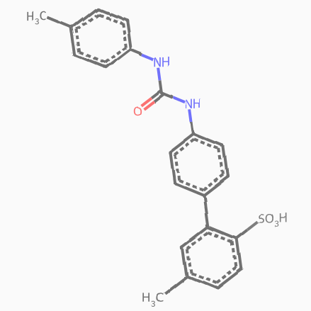 Cc1ccc(NC(=O)Nc2ccc(-c3cc(C)ccc3S(=O)(=O)O)cc2)cc1